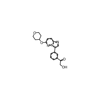 O=C(CO)c1cccc(-c2cnc3ccc(OC4CCOCC4)nn23)c1